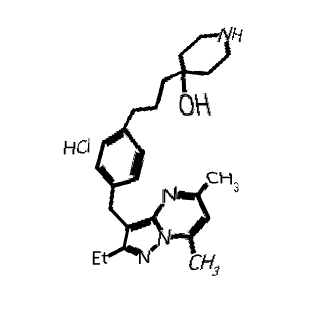 CCc1nn2c(C)cc(C)nc2c1Cc1ccc(CCCC2(O)CCNCC2)cc1.Cl